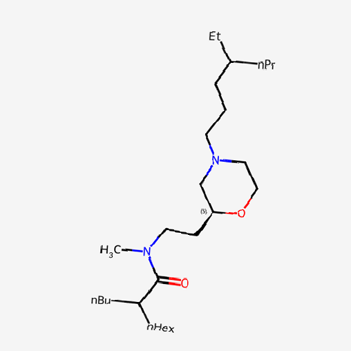 CCCCCCC(CCCC)C(=O)N(C)CC[C@H]1CN(CCCC(CC)CCC)CCO1